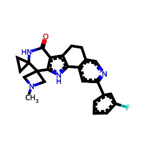 CN1CC2(C1)c1[nH]c3c(c1C(=O)NC21CC1)CCc1cnc(-c2cccc(F)c2)cc1-3